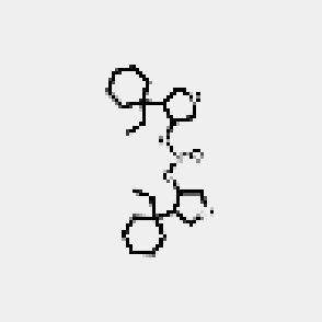 CCC1(C2COCC2O[N+](=O)OC2COCC2C2(CC)CCCCC2)CCCCC1